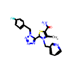 CC1=C(C(N)=O)SC(c2nnnn2Cc2ccc(F)cc2)N1Cc1cccnc1